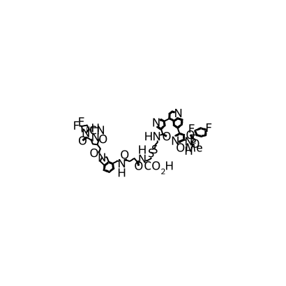 COc1ncc(-c2ccc3nccc(-c4cncc(C(=O)NCCSSCC(NC(=O)CCC(=O)NCc5cccc6c5CN(C(=O)CC5CC(C(=O)N7CC(F)(F)C[C@H]7C#N)NC5=O)C6)C(=O)O)c4)c3c2)cc1NS(=O)(=O)c1ccc(F)cc1F